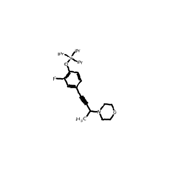 CC(C#Cc1ccc(O[Si](C(C)C)(C(C)C)C(C)C)c(F)c1)N1CCOCC1